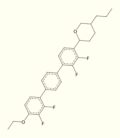 CCCC1CCC(c2ccc(-c3ccc(-c4ccc(OCC)c(F)c4F)cc3)c(F)c2F)OC1